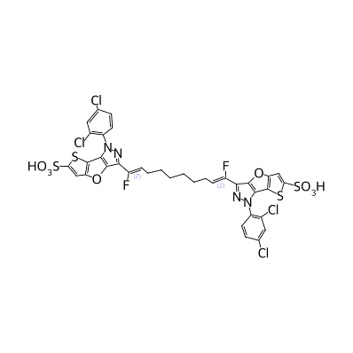 O=S(=O)(O)c1cc2oc3c(/C(F)=C/CCCCCC/C=C(\F)c4nn(-c5ccc(Cl)cc5Cl)c5c4oc4cc(S(=O)(=O)O)sc45)nn(-c4ccc(Cl)cc4Cl)c3c2s1